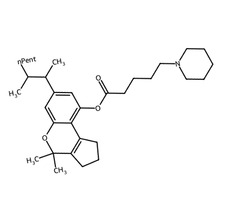 CCCCCC(C)C(C)c1cc(OC(=O)CCCCN2CCCCC2)c2c(c1)OC(C)(C)C1=C2CCC1